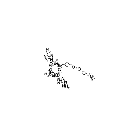 B[P@]1(=O)OC[C@H]2O[C@@H](n3cnc4c(N)ncnc43)[C@H](F)[C@@H]2O[P@@](=O)(SCc2ccc(COCCOCCOCCN=[N+]=[N-])cc2)OC[C@H]2O[C@@H](n3cnc4c(N)ncnc43)[C@H](F)[C@@H]2O1